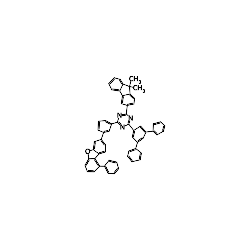 CC1(C)c2ccccc2-c2cc(-c3nc(-c4cccc(-c5ccc6c(c5)oc5cccc(-c7ccccc7)c56)c4)nc(-c4cc(-c5ccccc5)cc(-c5ccccc5)c4)n3)ccc21